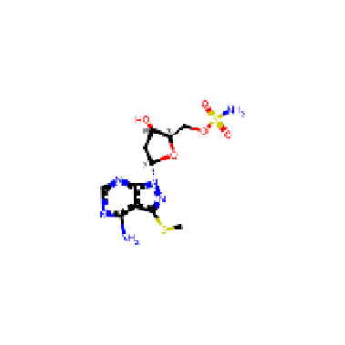 CSc1nn([C@@H]2C[C@@H](O)[C@@H](COS(N)(=O)=O)O2)c2ncnc(N)c12